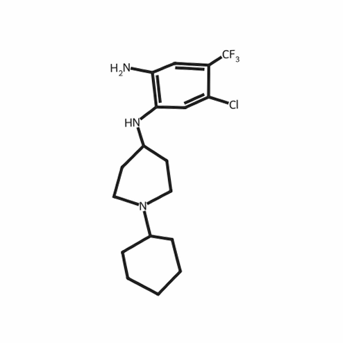 Nc1cc(C(F)(F)F)c(Cl)cc1NC1CCN(C2CCCCC2)CC1